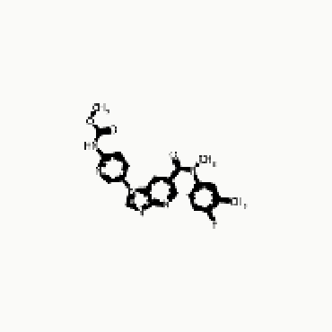 COC(=O)Nc1ccc(-n2cnc3ncc(C(=O)N(C)c4ccc(F)c(C)c4)cc32)cn1